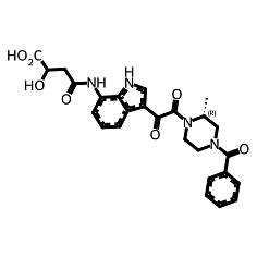 C[C@@H]1CN(C(=O)c2ccccc2)CCN1C(=O)C(=O)c1c[nH]c2c(NC(=O)CC(O)C(=O)O)cccc12